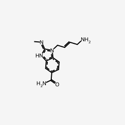 C/N=c1\[nH]c2cc(C(N)=O)ccc2n1C/C=C/CN